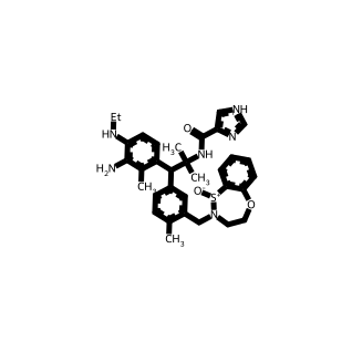 CCNc1ccc(C(c2ccc(C)c(CN3CCOc4ccccc4[S+]3[O-])c2)C(C)(C)NC(=O)c2c[nH]cn2)c(C)c1N